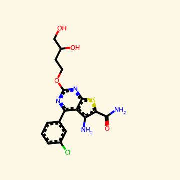 NC(=O)c1sc2nc(OCCC(O)CO)nc(-c3cccc(Cl)c3)c2c1N